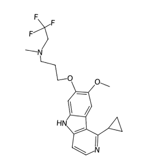 COc1cc2c(cc1OCCCN(C)CC(F)(F)F)[nH]c1ccnc(C3CC3)c12